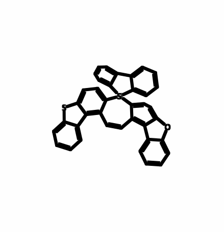 C1=Cc2c(ccc3sc4ccccc4c23)[Si]2(c3ccccc3-c3ccccc32)c2ccc3oc4ccccc4c3c21